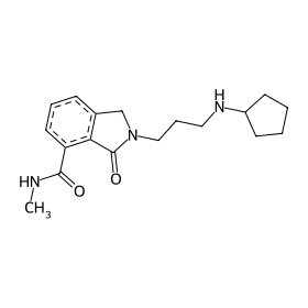 CNC(=O)c1cccc2c1C(=O)N(CCCNC1CCCC1)C2